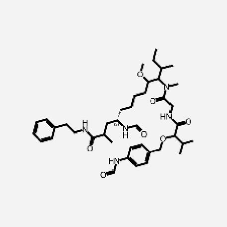 CCC(C)C(C(CCCC[C@@H](CC(C)C(=O)NCCc1ccccc1)NC=O)OC)N(C)C(=O)CNC(=O)C(OCc1ccc(NC=O)cc1)C(C)C